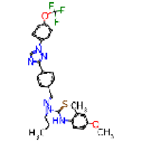 CCCN(/N=C/c1ccc(-c2ncn(-c3ccc(OC(F)(F)F)cc3)n2)cc1)C(=S)Nc1ccc(OC)cc1C